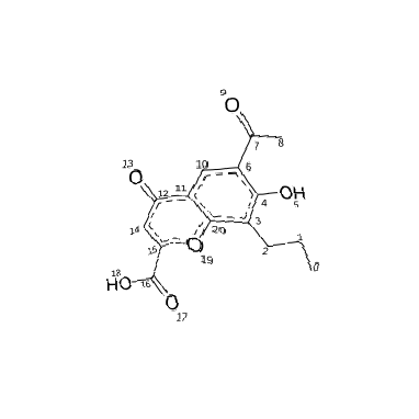 CCCc1c(O)c(C(C)=O)cc2c(=O)cc(C(=O)O)oc12